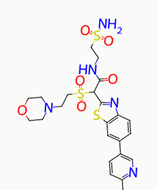 Cc1ccc(-c2ccc3nc(C(C(=O)NCCS(N)(=O)=O)S(=O)(=O)CCN4CCOCC4)sc3c2)cn1